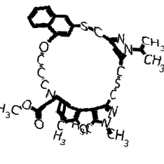 COC(=O)c1c(C)c2c3c(Cl)ccc2n1CCCOc1cc(cc2ccccc12)SCc1cc(n(C(C)C)n1)CSCc1nn(C)c(C)c1-3